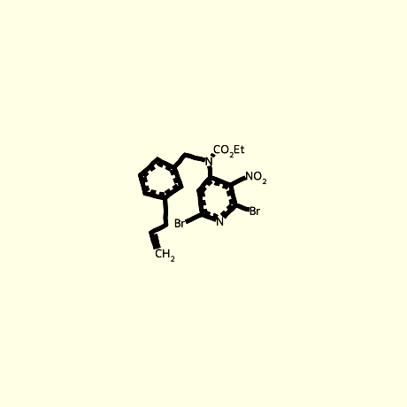 C=CCc1cccc(CN(C(=O)OCC)c2cc(Br)nc(Br)c2[N+](=O)[O-])c1